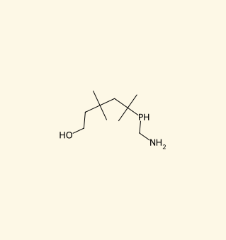 CC(C)(CCO)CC(C)(C)PCN